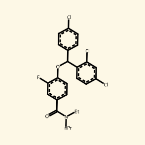 CCCN(CC)C(=O)c1ccc(OC(c2ccc(Cl)cc2)c2ccc(Cl)cc2Cl)c(F)c1